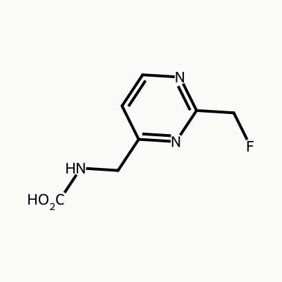 O=C(O)NCc1ccnc(CF)n1